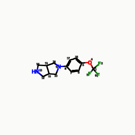 FC(F)(F)Oc1ccc(N2CC3CNCC3C2)cc1